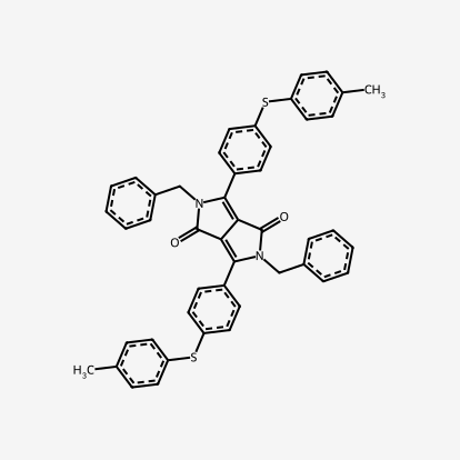 Cc1ccc(Sc2ccc(C3=C4C(=O)N(Cc5ccccc5)C(c5ccc(Sc6ccc(C)cc6)cc5)=C4C(=O)N3Cc3ccccc3)cc2)cc1